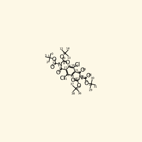 CC(C)(C)OC(=O)N(C(=O)OC(C)(C)C)C(=O)c1cc(Cl)c(C(=O)N(C(=O)OC(C)(C)C)C(=O)OC(C)(C)C)cc1Cl